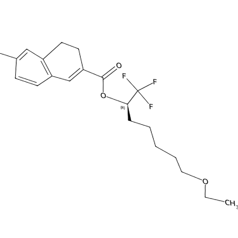 CCOCCCCC[C@@H](OC(=O)C1=Cc2ccc(O)cc2CC1)C(F)(F)F